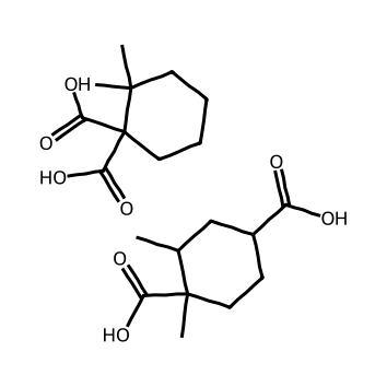 CC1(C)CCCCC1(C(=O)O)C(=O)O.CC1CC(C(=O)O)CCC1(C)C(=O)O